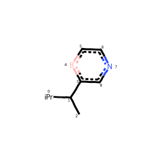 CC(C)C(C)c1bccnc1